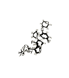 CC(C)(C)S(=O)(=O)NC(=O)c1cnn2ccc(N3CCC[C@@H]3c3cc(F)ccc3OC3CCOCC3)c(F)c12